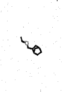 CCOCC1CC2CCC1C2